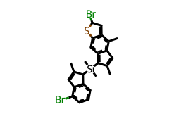 CC1=Cc2c(C)c3c(cc2=C1[Si](C)(C)C1C(C)=Cc2c(Br)cccc21)SC(Br)C=3